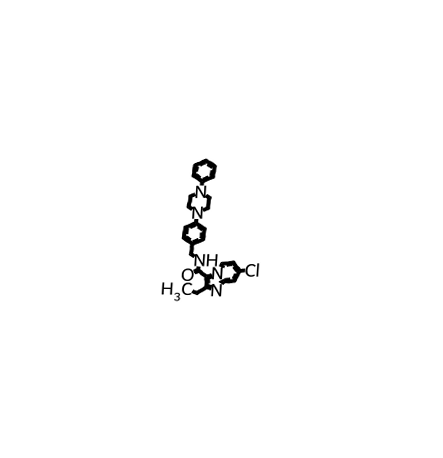 CCc1nc2cc(Cl)ccn2c1C(=O)NCc1ccc(N2CCN(c3ccccc3)CC2)cc1